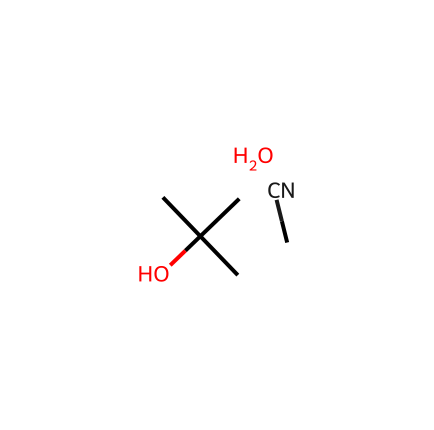 CC#N.CC(C)(C)O.O